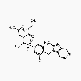 CCOC(=O)[C@H](CC(C)C)N(C)S(=O)(=O)c1ccc(Cn2c(C)nc3c2C=CNC3)c(Cl)c1